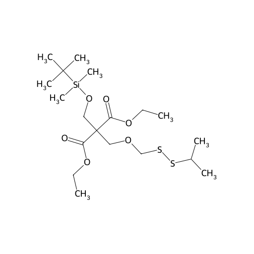 CCOC(=O)C(COCSSC(C)C)(CO[Si](C)(C)C(C)(C)C)C(=O)OCC